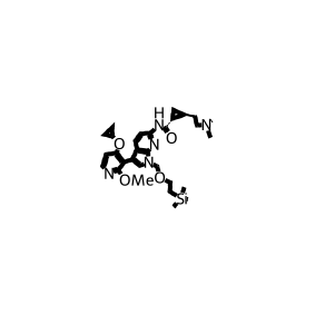 COc1nccc(OC2CC2)c1-c1cn(COCC[Si](C)(C)C)c2nc(NC(=O)[C@@H]3C[C@H]3CCN(C)C)ccc12